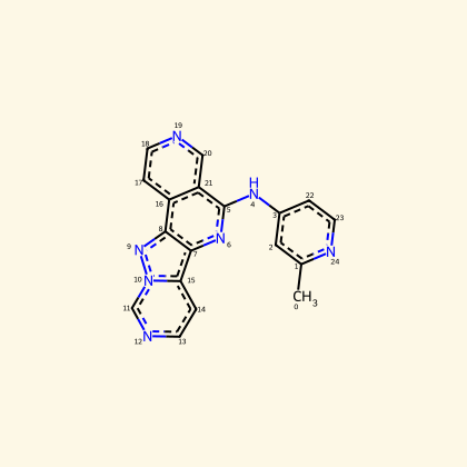 Cc1cc(Nc2nc3c(nn4cnccc34)c3ccncc23)ccn1